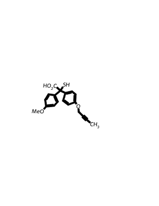 CC#CCOc1ccc(C(S)(C(=O)O)c2ccc(OC)cc2)cc1